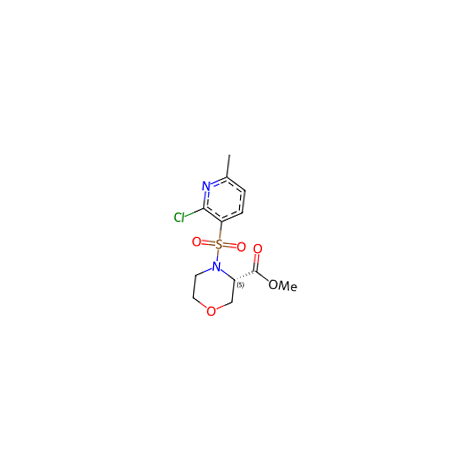 COC(=O)[C@@H]1COCCN1S(=O)(=O)c1ccc(C)nc1Cl